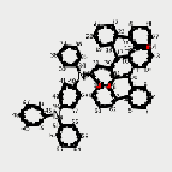 c1ccc(-c2ccccc2-c2c3ccccc3c(-c3ccccc3-c3ccccc3)c3cc(N(c4ccccc4)c4ccc(N(c5ccccc5)c5ccccc5)cc4)ccc23)cc1